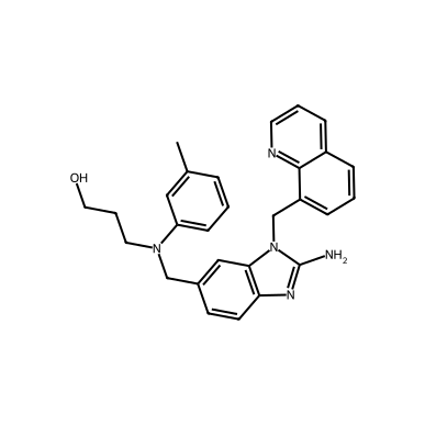 Cc1cccc(N(CCCO)Cc2ccc3nc(N)n(Cc4cccc5cccnc45)c3c2)c1